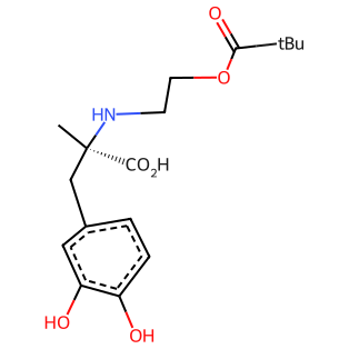 CC(C)(C)C(=O)OCCN[C@](C)(Cc1ccc(O)c(O)c1)C(=O)O